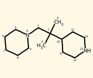 CC(C)(CN1CCCCC1)C1CCNCC1